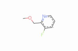 COCc1ncc[c]c1F